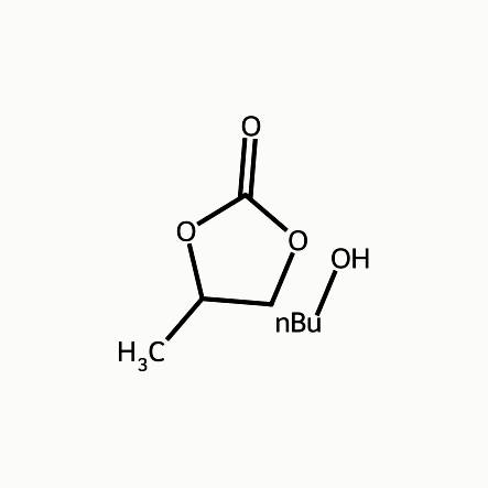 CC1COC(=O)O1.CCCCO